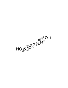 CCCCCCCCc1ccc(OCCOCCOCCS(=O)(=O)O)cc1